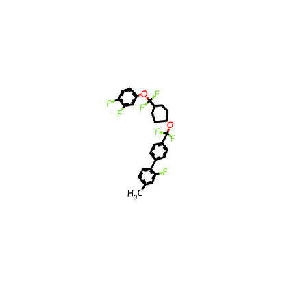 Cc1ccc(-c2ccc(C(F)(F)OC3CCC(C(F)(F)Oc4ccc(F)c(F)c4)CC3)cc2)c(F)c1